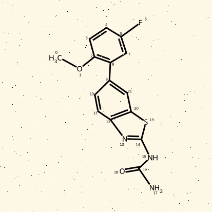 COc1ccc(F)cc1-c1ccc2nc(NC(N)=O)sc2c1